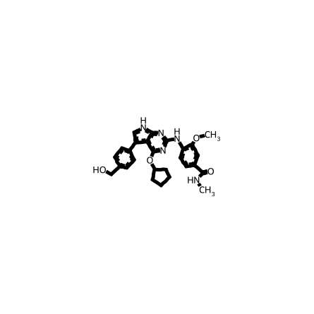 CNC(=O)c1ccc(Nc2nc(OC3CCCC3)c3c(-c4ccc(CO)cc4)c[nH]c3n2)c(OC)c1